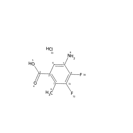 Cc1c(C(=O)O)cc(N)c(F)c1F.Cl